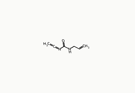 C=C=NC(=O)NCC=C